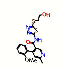 COc1ccccc1-c1cc(C)ncc1C(=O)Nc1nnc(SCCO)s1